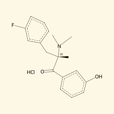 CN(C)[C@@](C)(Cc1cccc(F)c1)C(=O)c1cccc(O)c1.Cl